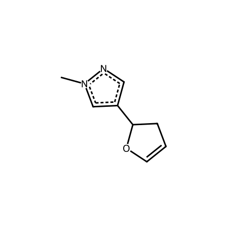 Cn1cc(C2CC=CO2)cn1